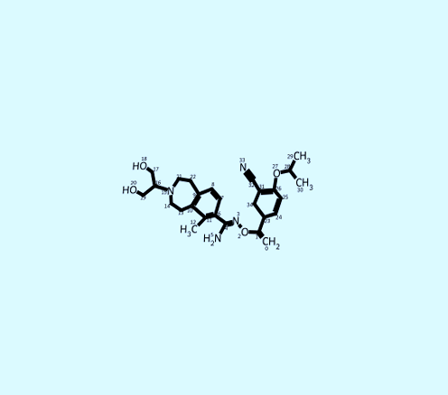 C=C(O/N=C(\N)c1ccc2c(c1C)CCN(C(CO)CO)CC2)C1C=CC(OC(C)C)=C(C#N)C1